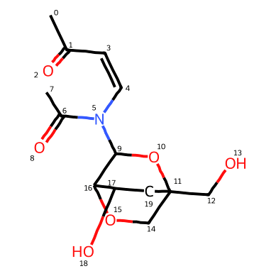 CC(=O)/C=C\N(C(C)=O)C1OC2(CO)COC1C(O)C2